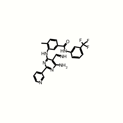 Cc1ccc(C(=O)Nc2cccc(C(F)(F)F)c2)cc1Nc1nc(-c2cccnc2)nc(N)c1C=N